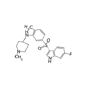 Cc1ccc(S(=O)(=O)c2c[nH]c3cc(F)ccc23)cc1NC1CCN(C)CC1